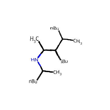 CCCCC(C)NC(C)C(C(C)CC)C(C)CCCC